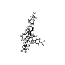 CC(C)c1ccc2c(c1)CC[C@H]1[C@@](C)(Cn3c(-c4cccc(OCC(=O)OC(C)(C)C)c4)nc4cc(-c5ccc(CN(C)C)cc5)ccc43)CCC[C@]21C